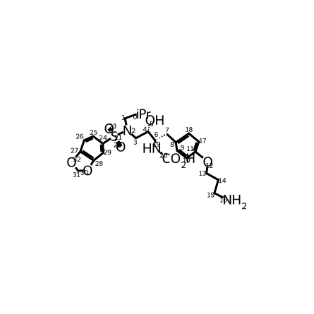 CC(C)CN(C[C@H](O)[C@H](Cc1ccc(OCCCN)cc1)NC(=O)O)S(=O)(=O)c1ccc2c(c1)OCO2